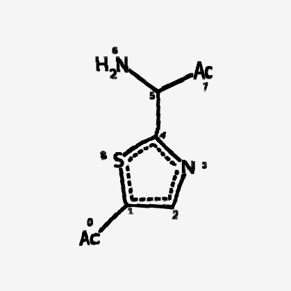 CC(=O)c1cnc(C(N)C(C)=O)s1